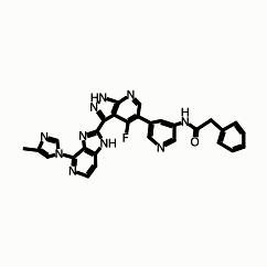 Cc1cn(-c2nccc3[nH]c(-c4n[nH]c5ncc(-c6cncc(NC(=O)Cc7ccccc7)c6)c(F)c45)nc23)cn1